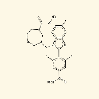 CNC(=O)c1cc(F)c(-c2nc3cc(C)ccn3c2CC2COCCN(C(=O)OC(C)(C)C)C2)c(F)c1